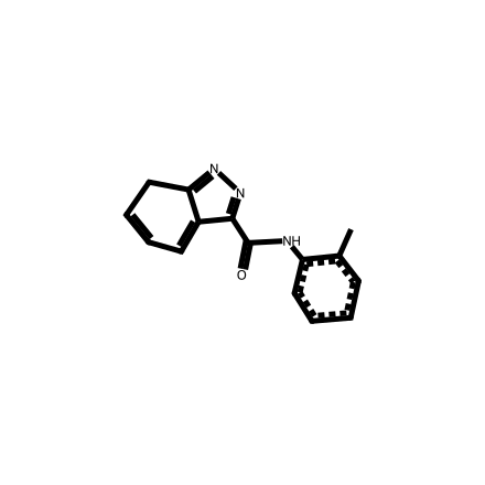 Cc1ccccc1NC(=O)C1=NN=C2CC=CC=C21